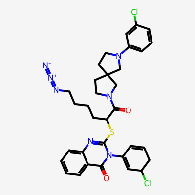 [N-]=[N+]=NCCCCC(Sc1nc2ccccc2c(=O)n1C1=CC(Cl)CC=C1)C(=O)N1CCC2(CCN(c3cccc(Cl)c3)C2)C1